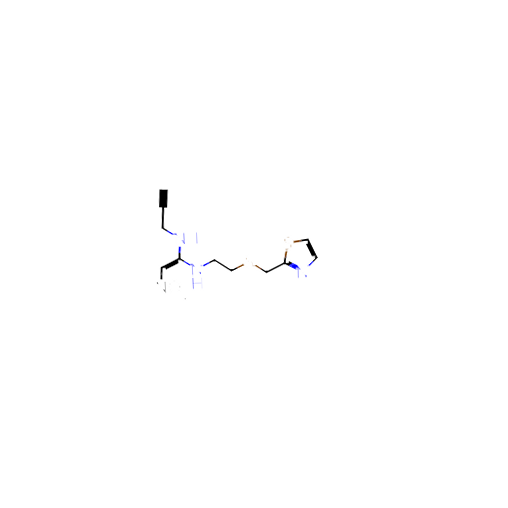 C#CCN/C(=C/[N+](=O)[O-])NCCSCc1nccs1